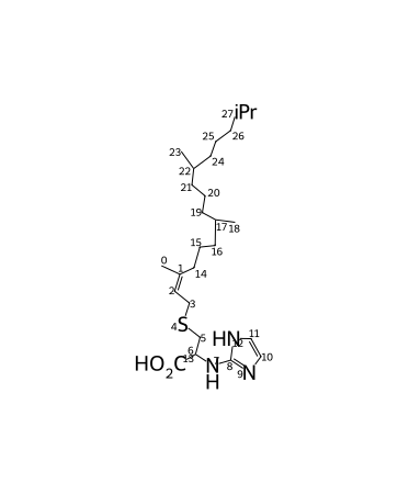 CC(=CCSCC(Nc1ncc[nH]1)C(=O)O)CCCC(C)CCCC(C)CCCC(C)C